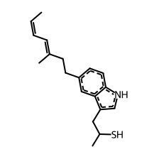 C/C=C\C=C(/C)CCc1ccc2[nH]cc(CC(C)S)c2c1